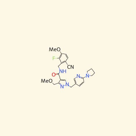 COCc1nn(Cc2ccc(N3CCCC3)nc2)cc1C(=O)NCc1c(C#N)ccc(OC)c1F